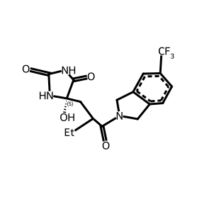 CCC(C[C@@]1(O)NC(=O)NC1=O)C(=O)N1Cc2ccc(C(F)(F)F)cc2C1